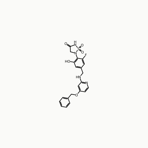 O=C1CN(c2c(O)cc(CNc3cc(OCc4ccccc4)ccn3)cc2F)S(=O)(=O)N1